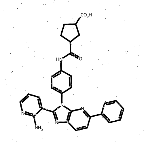 Nc1ncccc1-c1nc2ccc(-c3ccccc3)nc2n1-c1ccc(NC(=O)C2CCC(C(=O)O)C2)cc1